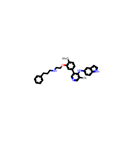 COc1ccc(-c2cncc(C#N)c2Nc2ccc3[nH]ccc3c2)cc1OCCNCCCc1ccccc1